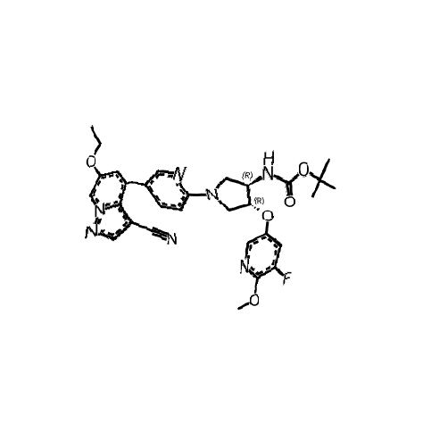 CCOc1cc(-c2ccc(N3C[C@@H](NC(=O)OC(C)(C)C)[C@H](Oc4cnc(OC)c(F)c4)C3)nc2)c2c(C#N)cnn2c1